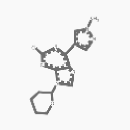 Cn1cc(-c2nc(Cl)nc3c2ncn3C2CCCCO2)cn1